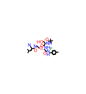 Cc1ccc(CNC(=O)[C@H](COCCN(C)C(=O)C(C#N)=CC(C)C)NC(=O)[C@@H](NC(=O)C(C)(C)C)[C@@H](C)O)c(F)c1